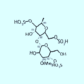 CO[C@@H]1C(O)[C@H](O[C@H]2C(COS(=O)(=O)O)O[C@H](C)C(OS(=O)(=O)O)[C@H]2O)OC(CO)[C@@H]1OS(=O)(=O)O